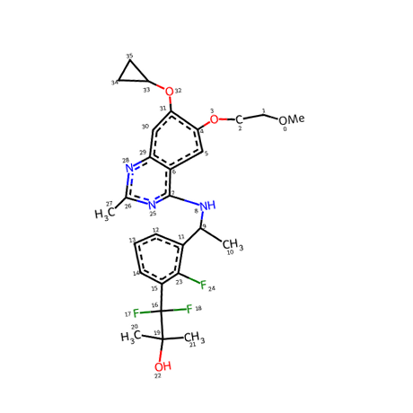 COCCOc1cc2c(NC(C)c3cccc(C(F)(F)C(C)(C)O)c3F)nc(C)nc2cc1OC1CC1